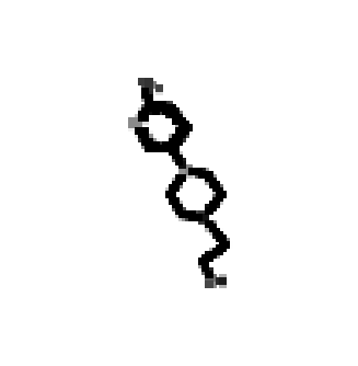 Nc1ccc(N2CCN(CCO)CC2)cn1